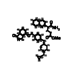 COC(=O)CCC(C(N)=O)c1ccc2ccccc2n1.O=C1N=Cc2c(OCc3ccc(CC4CCN(CC5CC5)CC4)cc3)cccc21